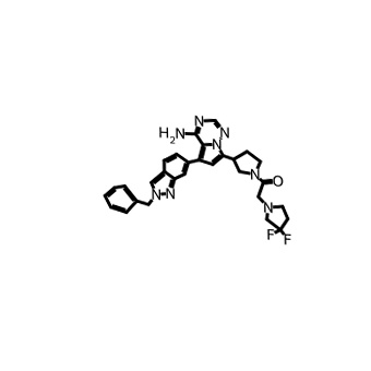 Nc1ncnn2c(C3CCN(C(=O)CN4CCC(F)(F)C4)C3)cc(-c3ccc4cn(Cc5ccccc5)nc4c3)c12